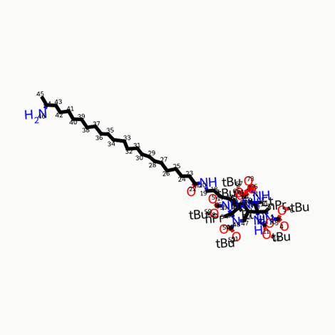 CCCC(NC(=O)OC(C)(C)C)C(NC(=O)OC(C)(C)C)(C(CCCCCCNC(=O)CCCCCCCCCCCCCCCCCCCCCC(C)N)CN(C(=O)OC(C)(C)C)C(CCC)(NC(=O)OC(C)(C)C)C(C)(CC)NC(=O)OC(C)(C)C)C(C)(CC)NC(=O)OC(C)(C)C